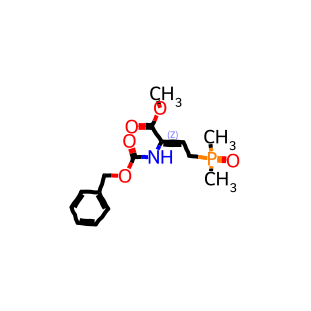 COC(=O)/C(=C/CP(C)(C)=O)NC(=O)OCc1ccccc1